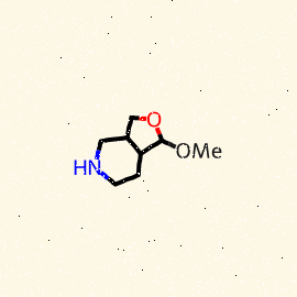 COC1OCC2CNCCC21